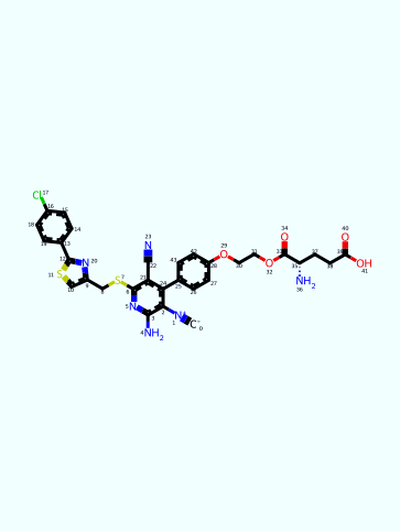 [C-]#[N+]c1c(N)nc(SCc2csc(-c3ccc(Cl)cc3)n2)c(C#N)c1-c1ccc(OCCOC(=O)[C@@H](N)CCC(=O)O)cc1